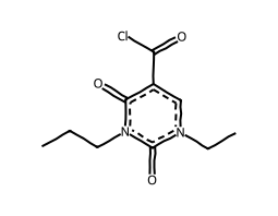 CCCn1c(=O)c(C(=O)Cl)cn(CC)c1=O